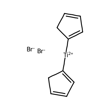 C1=CC[C]([Ti+2][C]2=CC=CC2)=C1.[Br-].[Br-]